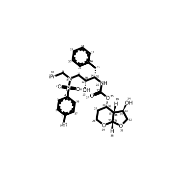 CCc1ccc(S(=O)(=O)N(CC(C)C)C[C@@H](O)[C@H](Cc2ccccc2)NC(=O)O[C@H]2CCO[C@H]3OC[C@H](O)[C@H]32)cc1